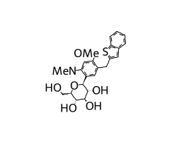 CNc1cc(OC)c(Cc2cc3ccccc3s2)cc1[C@@H]1O[C@H](CO)[C@@H](O)[C@H](O)[C@H]1O